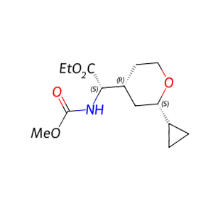 CCOC(=O)[C@@H](NC(=O)OC)[C@@H]1CCO[C@H](C2CC2)C1